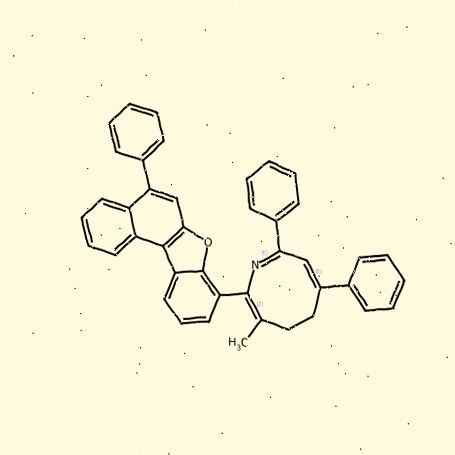 C/C1=C(c2cccc3c2oc2cc(-c4ccccc4)c4ccccc4c23)/N=C(c2ccccc2)\C=C(\c2ccccc2)CC1